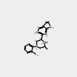 CC1CN(c2ccccc2F)CC(c2ncc3ccsc3n2)N1